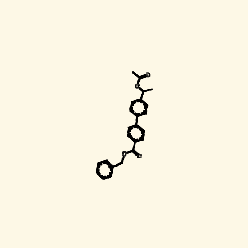 CC(=O)OC(C)c1ccc(-c2ccc(C(=O)OCc3ccccc3)cc2)cc1